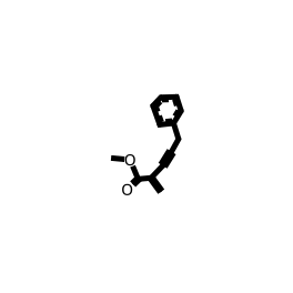 C=C(C#CCc1ccccc1)C(=O)OC